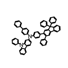 c1ccc(-c2ccc(N(c3ccc(-c4cc5c(cc4-c4ccccc4)-c4ccccc4C5(c4ccccc4)c4ccccc4)cc3)c3ccc4c5ccccc5n(-c5ccccc5)c4c3)cc2)cc1